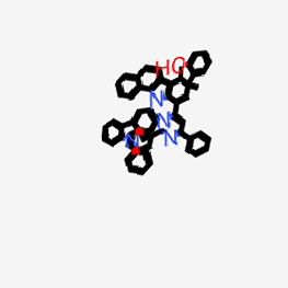 CC1c2c(n(C3=CCC4(C)C(=C3)c3ccccc3N4c3ccccc3)c3c2ccc2ccccc23)C(c2cc(-c3ccccc3)nc(-c3ccccc3)n2)=CC1(C)c1ccccc1O